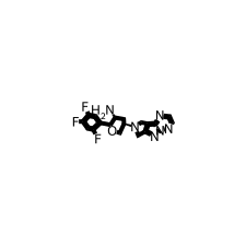 N[C@H]1C[C@@H](N2Cc3nn4nccnc4c3C2)COC1c1cc(F)c(F)cc1F